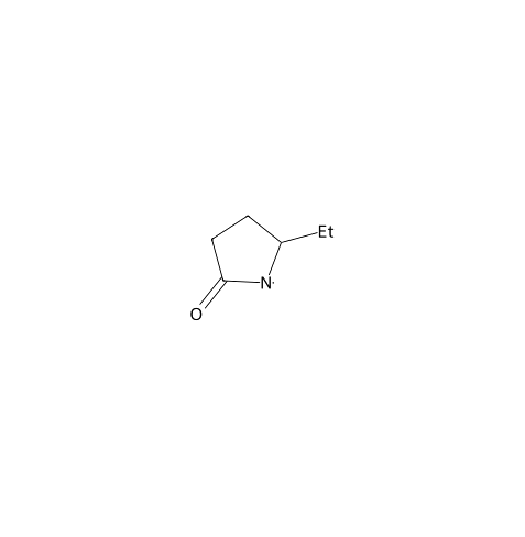 CCC1CCC(=O)[N]1